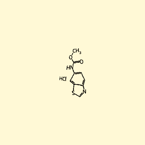 COC(=O)Nc1ccc2ncsc2c1.Cl